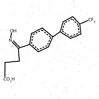 O=C(O)CC/C(=N/O)c1ccc(-c2ccc(C(F)(F)F)cc2)cc1